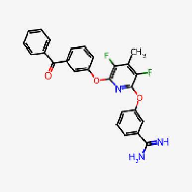 Cc1c(F)c(Oc2cccc(C(=N)N)c2)nc(Oc2cccc(C(=O)c3ccccc3)c2)c1F